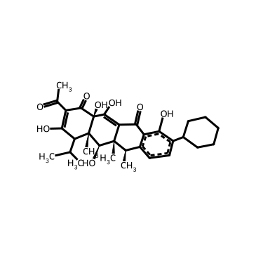 CC(=O)C1=C(O)C(C(C)C)[C@@]2(C)[C@H](O)[C@]3(C)C(=C(O)[C@@]2(O)C1=O)C(=O)c1c(ccc(C2CCCCC2)c1O)[C@H]3C